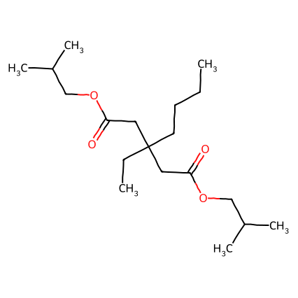 CCCCC(CC)(CC(=O)OCC(C)C)CC(=O)OCC(C)C